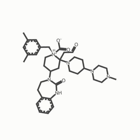 Cc1cc(C)cc(C[N@+]2(C(=O)[O-])CCC(N3CCc4ccccc4NC3=O)CC2(CC=O)N2CCC(N3CCN(C)CC3)CC2)c1